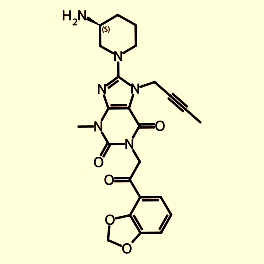 CC#CCn1c(N2CCC[C@H](N)C2)nc2c1c(=O)n(CC(=O)c1cccc3c1OCO3)c(=O)n2C